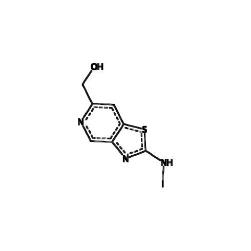 OCc1cc2sc(NI)nc2cn1